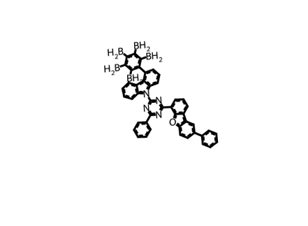 Bc1c(B)c(B)c(-c2cccc3c2c2ccccc2n3-c2nc(-c3ccccc3)nc(-c3cccc4c3oc3ccc(-c5ccccc5)cc34)n2)c(B)c1B